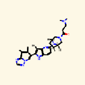 Cc1c(-c2[nH]c3ccc(N4[C@@H]5C[C@H](C)[C@H]4CN(C(=O)CCN(C)C)C5)nc3c2C(C)C)cn2ncnc2c1C